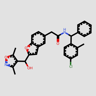 Cc1cc(Cl)ccc1C(NC(=O)Cc1ccc2oc(C(O)c3c(C)noc3C)cc2c1)c1ccccc1